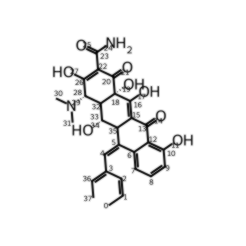 C\C=C/C(/C=C1\c2cccc(O)c2C(=O)C2=C(O)[C@]3(O)C(=O)C(C(N)=O)=C(O)[C@@H](N(C)C)C3[C@@H](O)C21)=C\C